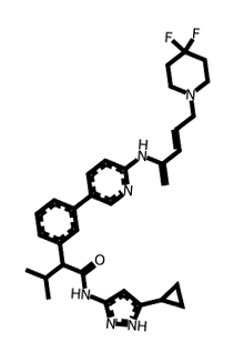 C=C(/C=C/CN1CCC(F)(F)CC1)Nc1ccc(-c2cccc(C(C(=O)Nc3cc(C4CC4)[nH]n3)C(C)C)c2)cn1